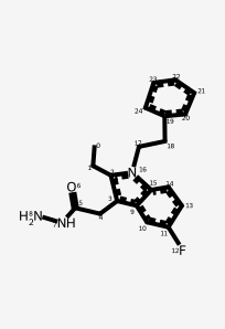 CCc1c(CC(=O)NN)c2cc(F)ccc2n1CCc1ccccc1